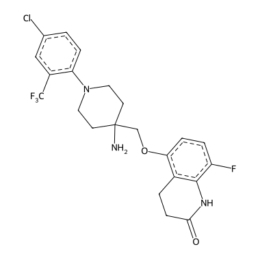 NC1(COc2ccc(F)c3c2CCC(=O)N3)CCN(c2ccc(Cl)cc2C(F)(F)F)CC1